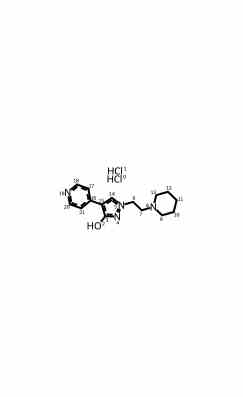 Cl.Cl.Oc1nn(CCN2CCCCC2)cc1-c1ccncc1